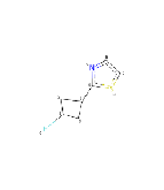 FC1CC(c2nccs2)C1